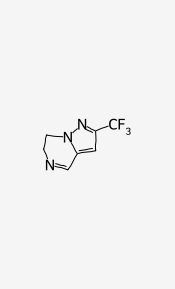 FC(F)(F)c1cc2n(n1)CCN=C2